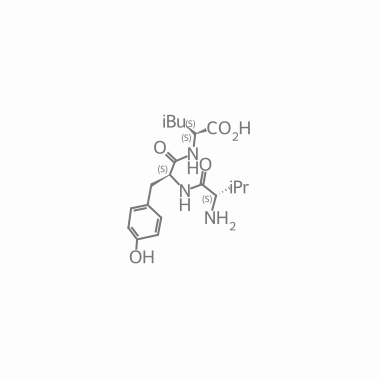 CC[C@H](C)[C@H](NC(=O)[C@H](Cc1ccc(O)cc1)NC(=O)[C@@H](N)C(C)C)C(=O)O